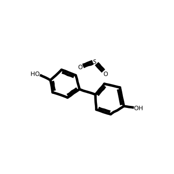 O=S=O.Oc1ccc(-c2ccc(O)cc2)cc1